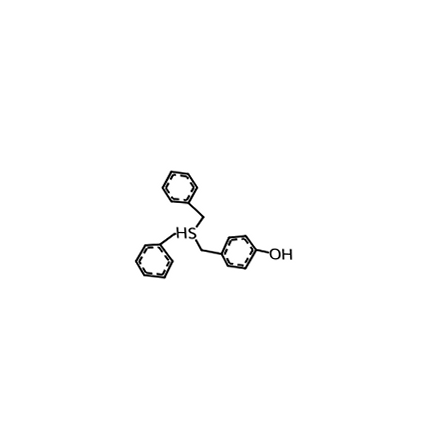 Oc1ccc(C[SH](Cc2ccccc2)Cc2ccccc2)cc1